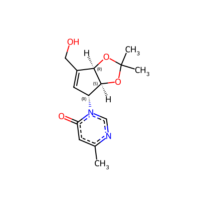 Cc1cc(=O)n([C@@H]2C=C(CO)[C@H]3OC(C)(C)O[C@H]32)cn1